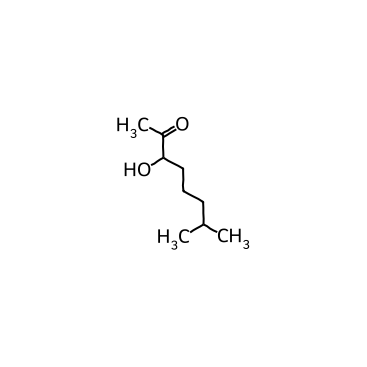 CC(=O)C(O)CCCC(C)C